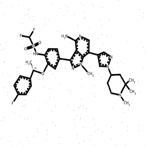 C[C@H](Oc1cc(-c2nn(C)c3c(-c4cnn(C5CCN(C)C(C)(C)C5)c4)cnc(N)c23)ccc1NS(=O)(=O)C(F)F)c1ccc(F)cc1